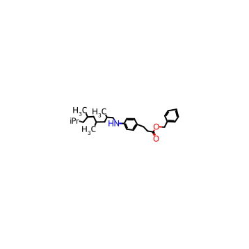 CC(C)CC(C)CC(C)CC(C)CNc1ccc(CCC(=O)OCc2ccccc2)cc1